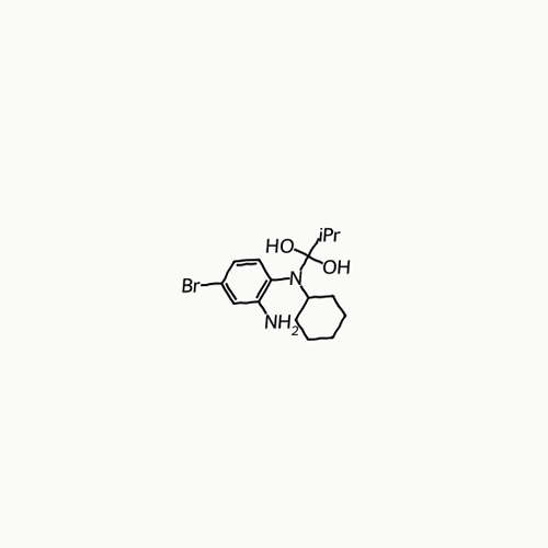 CC(C)C(O)(O)N(c1ccc(Br)cc1N)C1CCCCC1